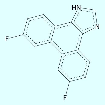 Fc1ccc2c(c1)c1cc(F)ccc1c1[nH]cnc21